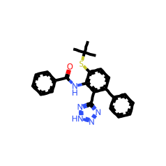 CC(C)(C)Sc1ccc(-c2ccccc2)c(-c2nn[nH]n2)c1NC(=O)c1ccccc1